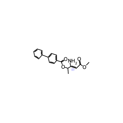 COC(=O)/C=C(\N)C(C)OC(=O)c1ccc(-c2ccccc2)cc1